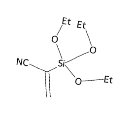 C=C(C#N)[Si](OCC)(OCC)OCC